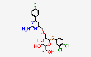 C[C@@H](O)C(CO)OC(Sc1ccc(Cl)c(Cl)c1)[C@@H](O)COCc1cc(-c2ccc(Cl)cc2)nc(N)n1